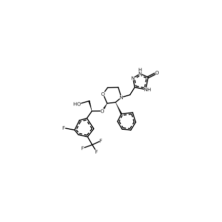 O=c1[nH]nc(CN2CCO[C@H](O[C@H](CO)c3cc(F)cc(C(F)(F)F)c3)[C@@H]2c2ccccc2)[nH]1